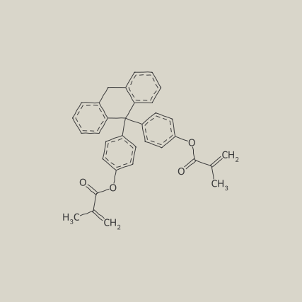 C=C(C)C(=O)Oc1ccc(C2(c3ccc(OC(=O)C(=C)C)cc3)c3ccccc3Cc3ccccc32)cc1